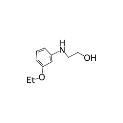 CCOc1cccc(NCCO)c1